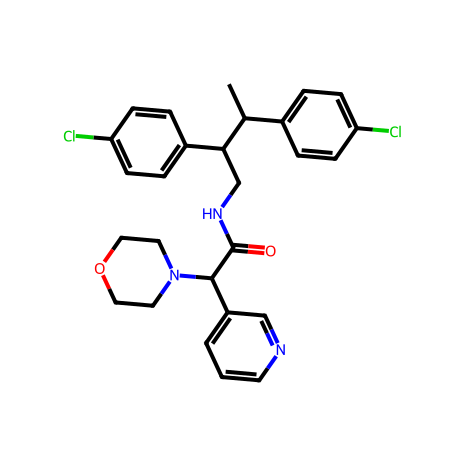 CC(c1ccc(Cl)cc1)C(CNC(=O)C(c1cccnc1)N1CCOCC1)c1ccc(Cl)cc1